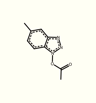 CC(=O)On1nnc2cc(C)ccc21